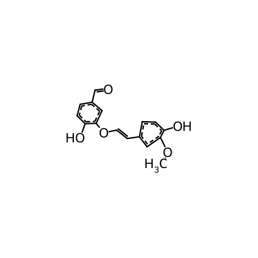 COc1cc(C=COc2cc(C=O)ccc2O)ccc1O